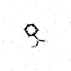 CCCN(F)c1ccccc1